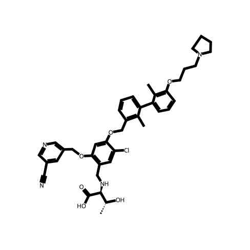 Cc1c(COc2cc(OCc3cncc(C#N)c3)c(CN[C@H](C(=O)O)[C@@H](C)O)cc2Cl)cccc1-c1cccc(OCCCN2CCCC2)c1C